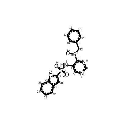 O=S(=O)(Nc1cncnc1[S+]([O-])Cc1ccccc1)c1cc2ccccc2o1